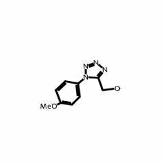 COc1ccc(-n2nnnc2C[O])cc1